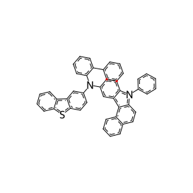 c1ccc(-c2ccccc2N(c2ccc3sc4ccccc4c3c2)c2ccc3c(c2)c2c4ccccc4ccc2n3-c2ccccc2)cc1